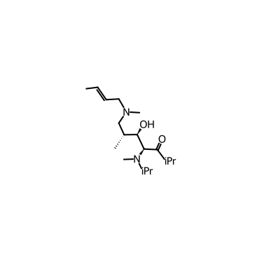 C/C=C/CN(C)C[C@@H](C)[C@@H](O)[C@@H](C(=O)C(C)C)N(C)C(C)C